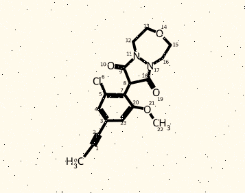 CC#Cc1cc(Cl)c(C2C(=O)N3CCOCCN3C2=O)c(OC)c1